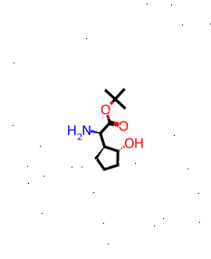 CC(C)(C)OC(=O)[C@H](N)[C@@H]1CCC[C@H]1O